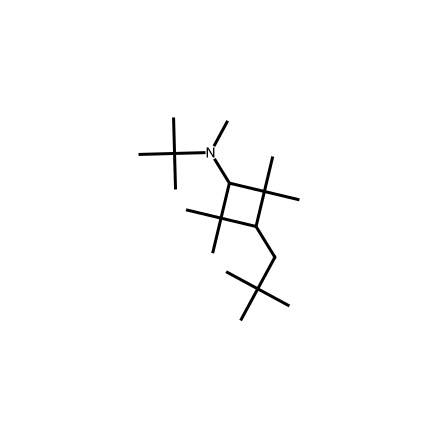 CN(C1C(C)(C)C(CC(C)(C)C)C1(C)C)C(C)(C)C